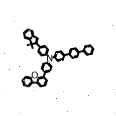 CC1(C)C(c2ccc(N(c3ccc(-c4ccc(-c5ccccc5)cc4)cc3)c3ccc(-c4cccc5c4oc4ccccc45)cc3)cc2)=Cc2ccccc21